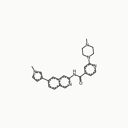 CN1CCN(c2cc(C(=O)Nc3cc4cc(-c5ccn(C)c5)ccc4cn3)ccn2)CC1